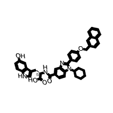 O=C(N[C@@H](Cc1c[nH]c2ccc(O)cc12)C(=O)O)c1ccc2c(c1)nc(-c1ccc(OCc3ccc4ccccc4c3)cc1)n2C1CCCCC1